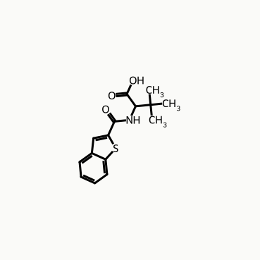 CC(C)(C)C(NC(=O)c1cc2ccccc2s1)C(=O)O